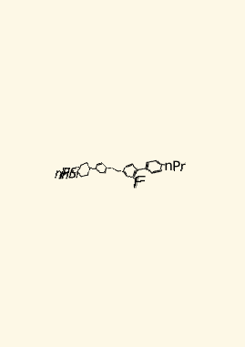 CCCc1ccc(-c2ccc(CCc3ccc(C4CC[SiH](CCC)CC4)cc3)cc2F)cc1